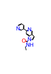 CCNC(=O)n1ccc2cnc(-c3cccnc3)cc21